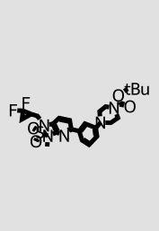 CN1c2nc(-c3cccc(N4CCN(C(=O)OC(C)(C)C)CC4)c3)ccc2N(CC2CC2(F)F)S1(=O)=O